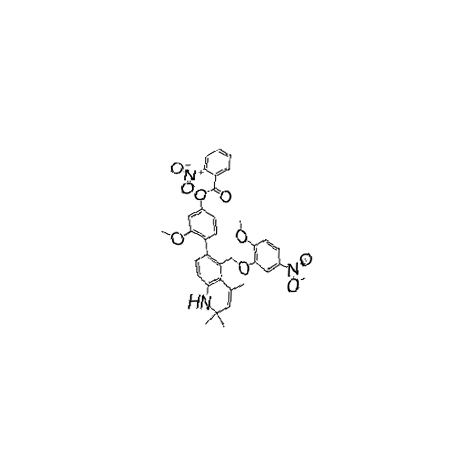 COc1ccc([N+](=O)[O-])cc1OCc1c(-c2ccc(OC(=O)c3ccccc3[N+](=O)[O-])cc2OC)ccc2c1C(C)=CC(C)(C)N2